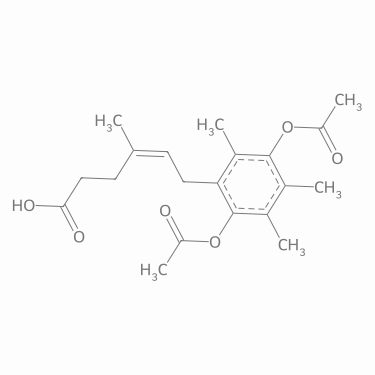 CC(=O)Oc1c(C)c(C)c(OC(C)=O)c(CC=C(C)CCC(=O)O)c1C